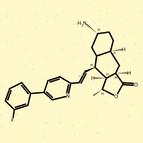 C[C@H]1OC(=O)[C@@H]2C[C@@H]3CC[C@@H](N)CC3[C@H](/C=C/c3ccc(-c4cccc(F)c4)cn3)[C@H]12